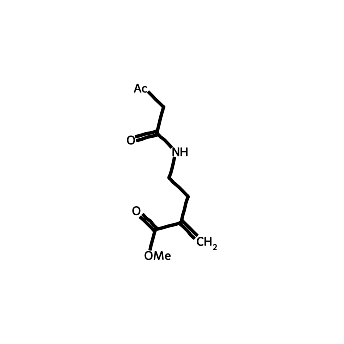 C=C(CCNC(=O)CC(C)=O)C(=O)OC